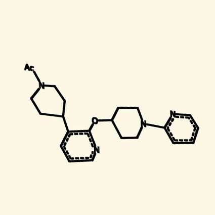 CC(=O)N1CCC(c2cccnc2OC2CCN(c3ccccn3)CC2)CC1